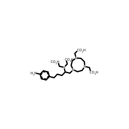 Nc1ccc(CCCC(CN2CCN(CC(=O)O)CCN(CC(=O)O)CC2)N(CC(=O)O)CC(=O)O)cc1